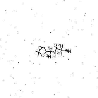 [2H]C([2H])(C#N)C(=O)NC([2H])([2H])C1COC(C)(C)O1